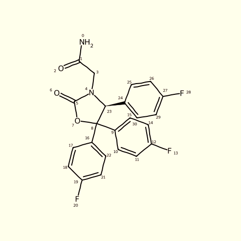 NC(=O)CN1C(=O)OC(c2ccc(F)cc2)(c2ccc(F)cc2)[C@@H]1c1ccc(F)cc1